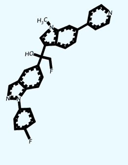 Cn1cc(C(O)(CF)c2ccc3c(cnn3-c3ccc(F)cc3)c2)c2ccc(-c3ccncc3)cc21